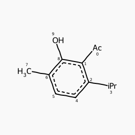 CC(=O)c1c(C(C)C)ccc(C)c1O